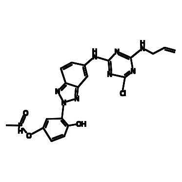 C=CCNc1nc(Cl)nc(Nc2ccc3nn(-c4cc(O[PH](C)=O)ccc4O)nc3c2)n1